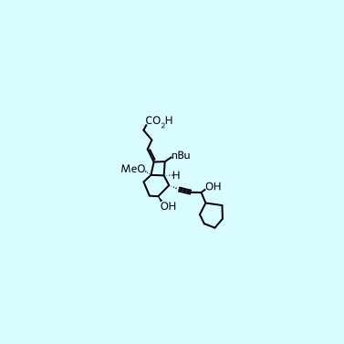 CCCCC1C(=CCCC(=O)O)[C@]2(OC)CC[C@H](O)[C@@H](C#CC(O)C3CCCCC3)[C@H]12